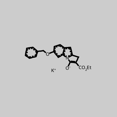 CCOC(=O)C1=C([O-])n2c(cc3ccc(OCc4ccccc4)cc32)C1.[K+]